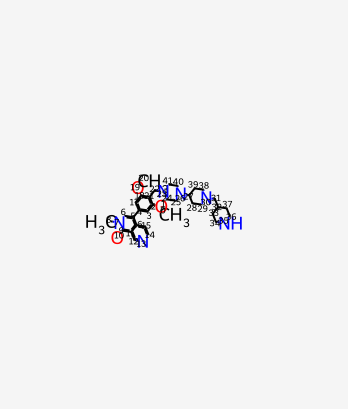 COc1cc(-c2cn(C)c(=O)c3cnccc23)cc(OC)c1CN1CCN(C2CCN(CC3CCNCC3)CC2)CC1